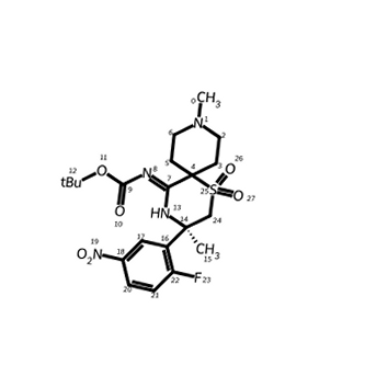 CN1CCC2(CC1)C(=NC(=O)OC(C)(C)C)N[C@](C)(c1cc([N+](=O)[O-])ccc1F)CS2(=O)=O